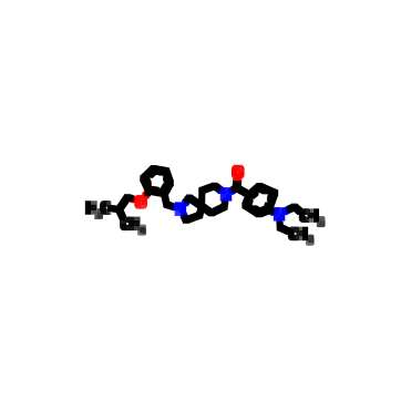 CCN(CC)c1ccc(C(=O)N2CCC3(CCN(Cc4ccccc4OCC(C)C)C3)CC2)cc1